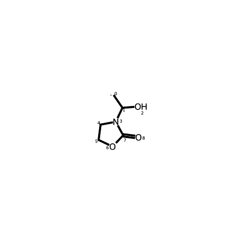 [CH2]C(O)N1CCOC1=O